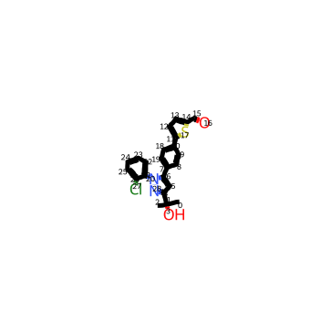 CC(C)(O)c1cc(-c2ccc(-c3ccc(C=O)s3)cc2)n(-c2ccccc2Cl)n1